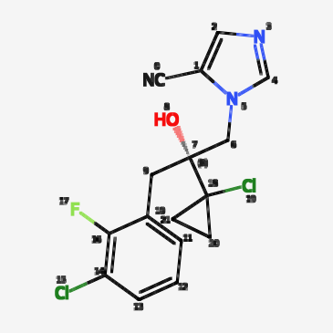 N#Cc1cncn1C[C@](O)(Cc1cccc(Cl)c1F)C1(Cl)CC1